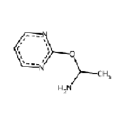 CC(N)Oc1ncccn1